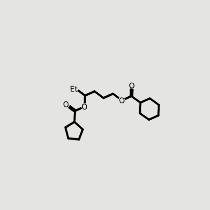 CCC(CCCOC(=O)C1CCCCC1)OC(=O)C1CCCC1